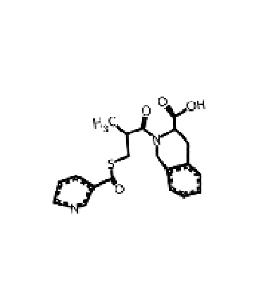 CC(CSC(=O)c1cccnc1)C(=O)N1Cc2ccccc2CC1C(=O)O